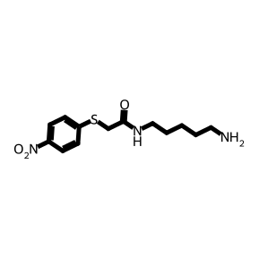 NCCCCCNC(=O)CSc1ccc([N+](=O)[O-])cc1